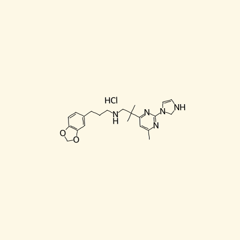 Cc1cc(C(C)(C)CNCCCc2ccc3c(c2)OCO3)nc(N2C=CNC2)n1.Cl